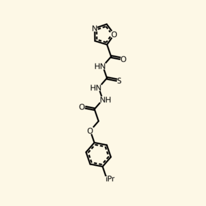 CC(C)c1ccc(OCC(=O)NNC(=S)NC(=O)c2cnco2)cc1